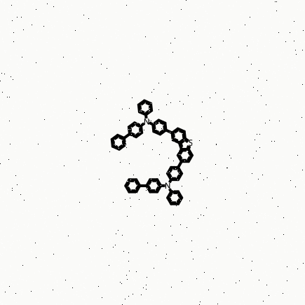 c1ccc(-c2ccc(N(c3ccccc3)c3ccc(-c4ccc5sc6ccc(-c7ccc(N(c8ccccc8)c8ccc(-c9ccccc9)cc8)cc7)cc6c5c4)cc3)cc2)cc1